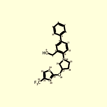 OCc1cc(-c2ccccc2)ccc1N1CCC(Oc2nc(C(F)(F)F)cs2)C1